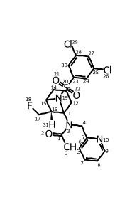 CC(=O)N(Cc1ccccn1)C12CCCC([C@H]1CF)N2S(=O)(=O)c1cc(Cl)cc(Cl)c1